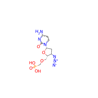 [N-]=[N+]=NC1C[C@@H](n2ccc(N)nc2=O)O[C@H]1COCP(=O)(O)O